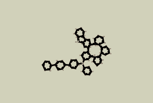 c1ccc(-c2ccc(-c3ccc(N(c4ccccc4)c4ccc5c(c4)c4ccccc4c4ccccc4c4ccccc4c4cc6c(cc54)sc4ccccc46)cc3)cc2)cc1